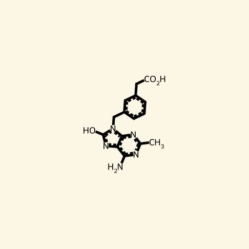 Cc1nc(N)c2nc(O)n(Cc3cccc(CC(=O)O)c3)c2n1